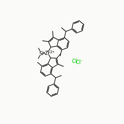 CC1=C(C)[CH]([Zr+2]([CH]2C(C)=C(C)c3c(C(C)c4ccccc4)ccc(C)c32)=[Si](C)C)c2c(C)ccc(C(C)c3ccccc3)c21.[Cl-].[Cl-]